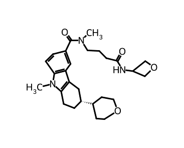 CN(CCCC(=O)NC1COC1)C(=O)c1ccc2c(c1)c1c(n2C)CC[C@@H](C2CCOCC2)C1